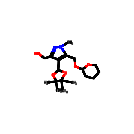 Cn1nc(CO)c(B2OC(C)(C)C(C)(C)O2)c1COC1CCCCO1